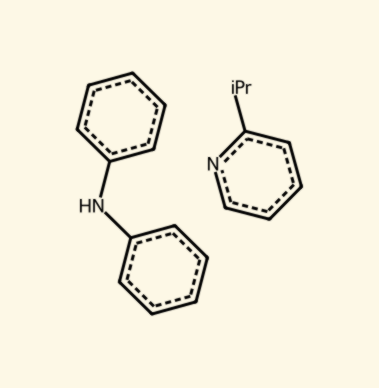 CC(C)c1ccccn1.c1ccc(Nc2ccccc2)cc1